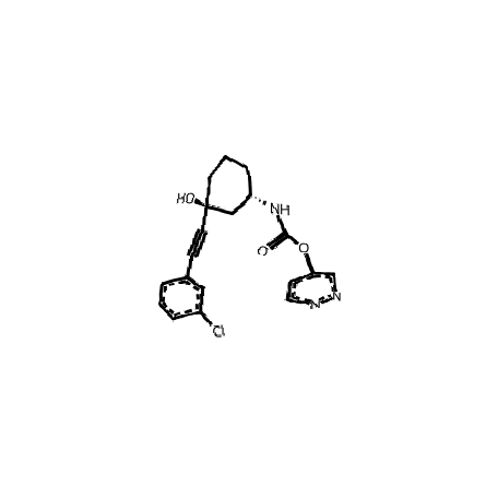 O=C(N[C@H]1CCC[C@@](O)(C#Cc2cccc(Cl)c2)C1)Oc1ccnnc1